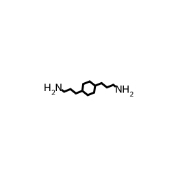 NCCCC1CCC(CCCN)CC1